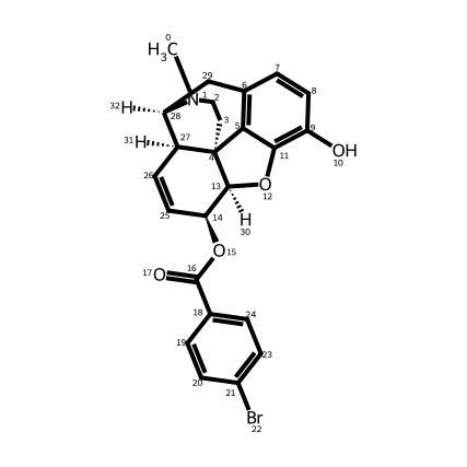 CN1CC[C@]23c4c5ccc(O)c4O[C@H]2[C@@H](OC(=O)c2ccc(Br)cc2)C=C[C@H]3[C@H]1C5